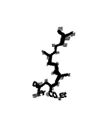 CCOC(=O)C(C=C(C)CCC=C(C)CCC=C(C)C)CC(=O)C(C)C